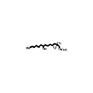 CC(C)(C)CCCCCC(O)CCCCCC(C)(C)COC=O